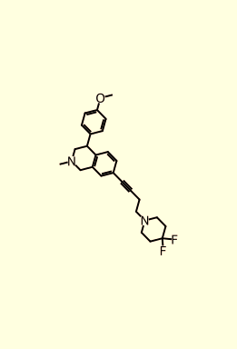 COc1ccc(C2CN(C)Cc3cc(C#CCCN4CCC(F)(F)CC4)ccc32)cc1